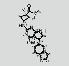 COc1nc(N[C@H]2C[C@](C)(C(=O)N(C)C)C2)nc2[nH]cc(-c3ccc4nccn4c3)c12